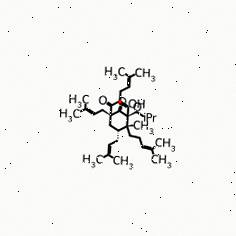 CC(C)=CCC[C@]1(C)[C@H](CC=C(C)C)C[C@]2(CC=C(C)C)C(=O)C(CC=C(C)C)=C(O)[C@@]1(C(=O)C(C)C)C2=O